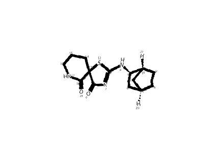 O=C1N=C(N[C@@H]2C[C@@H]3CC[C@@H]2C3)SC12CCCNC2=O